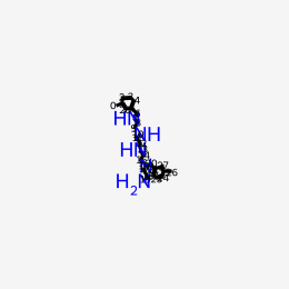 Cc1cccc(CNCCNCCNCCN(CCN)Cc2cccc(C)c2)c1